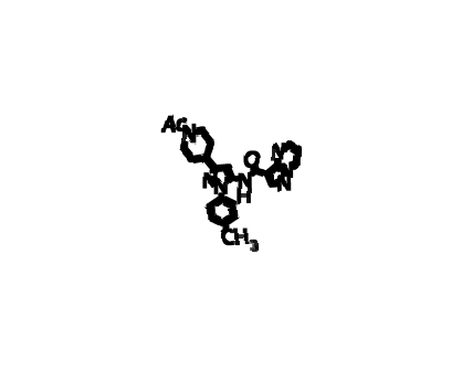 CC(=O)N1CCC(c2cc(NC(=O)c3cnn4cccnc34)n(-c3ccc(C)cc3)n2)CC1